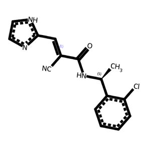 C[C@H](NC(=O)/C(C#N)=C/c1ncc[nH]1)c1ccccc1Cl